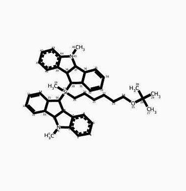 CN1c2ccccc2C2C1C1C=CC=CC1C2[Si](C)(CCCCCCOC(C)(C)C)C1C2C=CC=CC2C2C1c1ccccc1N2C